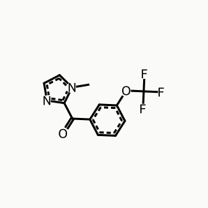 Cn1ccnc1C(=O)c1cccc(OC(F)(F)F)c1